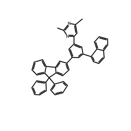 Cc1cc(-c2cc(-c3ccc4c(c3)-c3ccccc3C4(c3ccccc3)c3ccccc3)cc(-c3cccc4ccccc34)c2)nc(C)n1